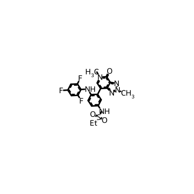 CCS(=O)(=O)Nc1ccc(Nc2c(F)cc(F)cc2F)c(-c2cn(C)c(=O)c3nn(C)nc23)c1